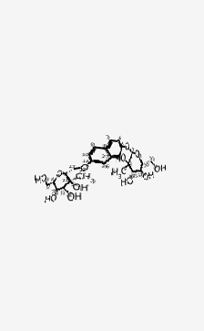 C[C@@]1(O)[C@@H](Oc2ccc3ccc(OC[C@H]4O[C@H](CO)[C@@H](O)[C@H](O)[C@]4(C)O)cc3c2)O[C@H](CO)[C@@H](O)[C@@H]1O